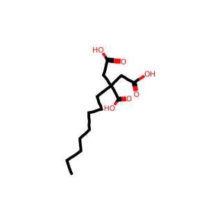 CCCCCCCCC(CC(=O)O)(CC(=O)O)C(=O)O